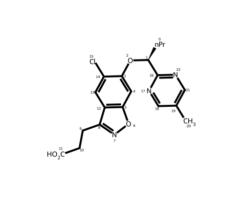 CCC[C@H](Oc1cc2onc(CCC(=O)O)c2cc1Cl)c1ncc(C)cn1